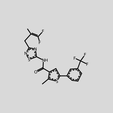 CC(Cc1nsc(NC(=O)c2cc(-c3cccc(C(F)(F)F)c3)sc2C)n1)=C(F)F